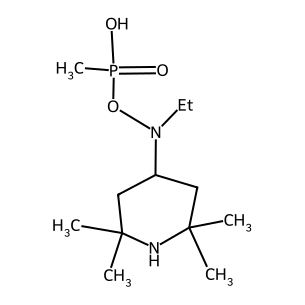 CCN(OP(C)(=O)O)C1CC(C)(C)NC(C)(C)C1